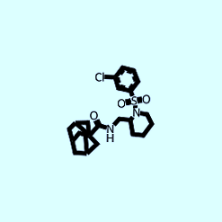 O=C(NCC1CCCCN1S(=O)(=O)c1cccc(Cl)c1)C12CC3CC(CC(C3)C1)C2